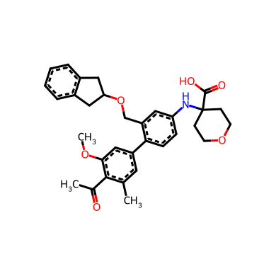 COc1cc(-c2ccc(NC3(C(=O)O)CCOCC3)cc2COC2Cc3ccccc3C2)cc(C)c1C(C)=O